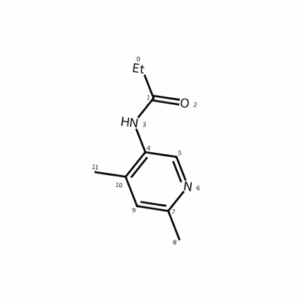 CCC(=O)Nc1cnc(C)cc1C